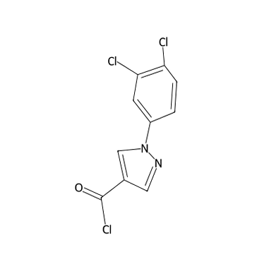 O=C(Cl)c1cnn(-c2ccc(Cl)c(Cl)c2)c1